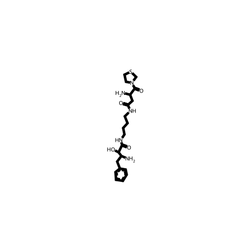 NC(CC(=O)NCCCCNC(=O)C(O)C(N)Cc1ccccc1)C(=O)N1CCSC1